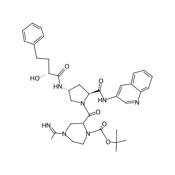 CC(=N)N1CCN(C(=O)OC(C)(C)C)C(C(=O)N2C[C@H](NC(=O)[C@H](O)CCc3ccccc3)C[C@H]2C(=O)Nc2cnc3ccccc3c2)C1